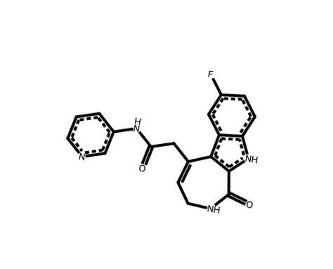 O=C(CC1=CCNC(=O)c2[nH]c3ccc(F)cc3c21)Nc1cccnc1